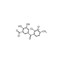 Cc1ccc(C(=O)c2cc(O)c(O)c([N+](=O)[O-])c2)c(Cl)[n+]1[O-]